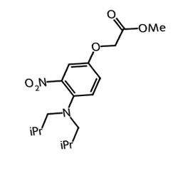 COC(=O)COc1ccc(N(CC(C)C)CC(C)C)c([N+](=O)[O-])c1